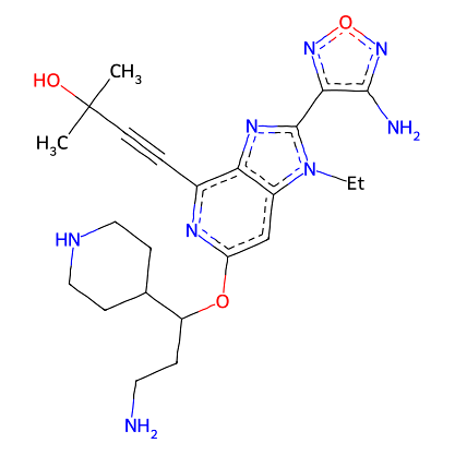 CCn1c(-c2nonc2N)nc2c(C#CC(C)(C)O)nc(OC(CCN)C3CCNCC3)cc21